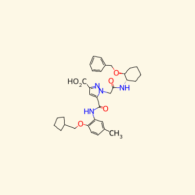 Cc1ccc(OCC2CCCC2)c(NC(=O)c2cc(C(=O)O)nn2CC(=O)N[C@H]2CCCC[C@@H]2OCc2ccccc2)c1